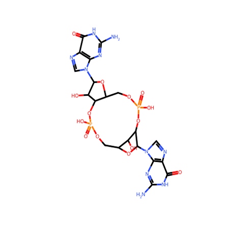 Nc1nc2c(ncn2C2OC3COP(=O)(O)OC4C(O)C(COP(=O)(O)OC3C2O)OC4n2cnc3c(=O)[nH]c(N)nc32)c(=O)[nH]1